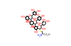 N[C@@H](CSC1c2c(O)cc(O)c(C3c4c(O)cc(O)c(C5c6c(O)cc(O)cc6OC(c6ccc(O)c(O)c6)C5O)c4OC(c4ccc(O)c(O)c4)C3O)c2OC(C2=CCC(O)C(O)=C2)C1O)C(=O)O